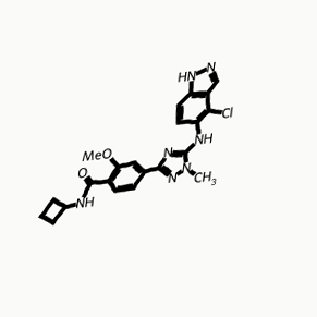 COc1cc(-c2nc(Nc3ccc4[nH]ncc4c3Cl)n(C)n2)ccc1C(=O)NC1CCC1